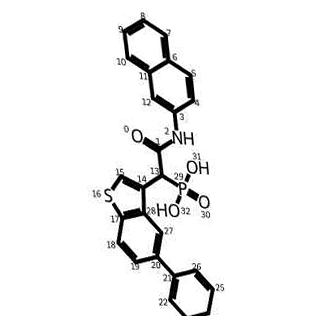 O=C(Nc1ccc2ccccc2c1)C(c1csc2ccc(C3=CCCC=C3)cc12)P(=O)(O)O